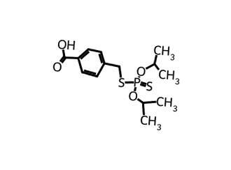 CC(C)OP(=S)(OC(C)C)SCc1ccc(C(=O)O)cc1